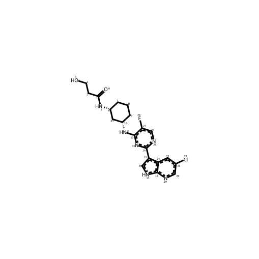 O=C(CCO)N[C@@H]1CCC[C@H](Nc2nc(-c3c[nH]c4ncc(Cl)cc34)ncc2F)C1